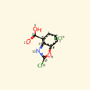 Cl.O=C(O)c1cccc2oc(Cl)nc12